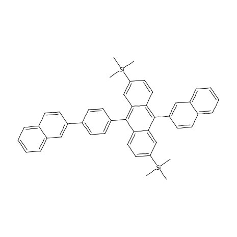 C[Si](C)(C)c1ccc2c(-c3ccc4ccccc4c3)c3cc([Si](C)(C)C)ccc3c(-c3ccc(-c4ccc5ccccc5c4)cc3)c2c1